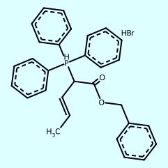 Br.CC=CC(C(=O)OCc1ccccc1)[PH](c1ccccc1)(c1ccccc1)c1ccccc1